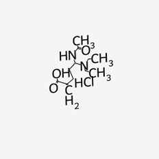 C=C(CCC(NC(C)=O)N(CC)CC)C(=O)O.Cl